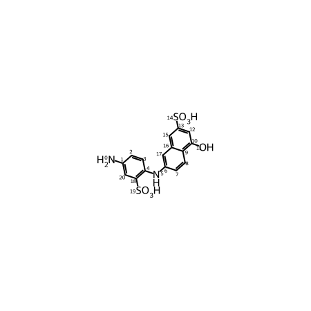 Nc1ccc(Nc2ccc3c(O)cc(S(=O)(=O)O)cc3c2)c(S(=O)(=O)O)c1